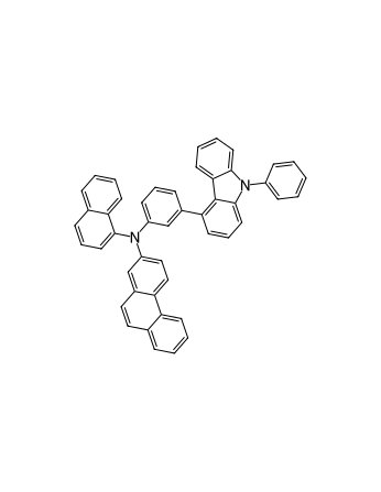 c1ccc(-n2c3ccccc3c3c(-c4cccc(N(c5ccc6c(ccc7ccccc76)c5)c5cccc6ccccc56)c4)cccc32)cc1